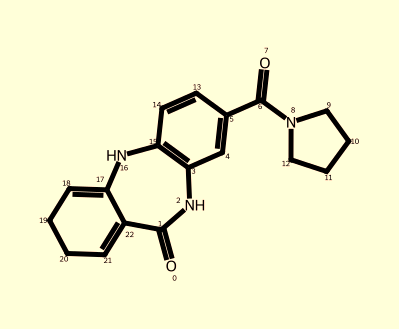 O=C1Nc2cc(C(=O)N3CCCC3)ccc2NC2=CCCC=C12